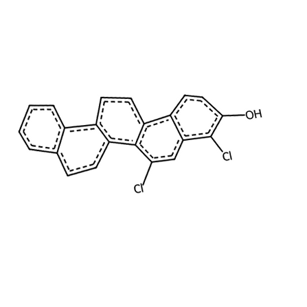 Oc1ccc2c(cc(Cl)c3c2ccc2c4ccccc4ccc23)c1Cl